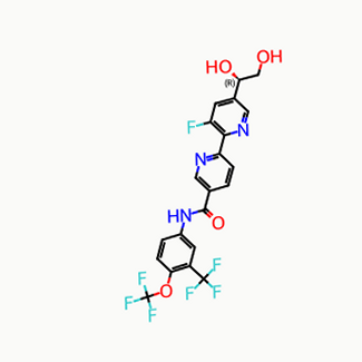 O=C(Nc1ccc(OC(F)(F)F)c(C(F)(F)F)c1)c1ccc(-c2ncc([C@@H](O)CO)cc2F)nc1